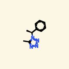 Cc1nnnn1[C@@H](C)c1ccccc1